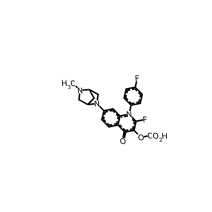 CN1CC2CC1CN2c1ccc2c(=O)c(OC(=O)O)c(F)n(-c3ccc(F)cc3)c2c1